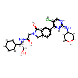 O=C(CN1Cc2ccc(-c3nc(NC4CCOCC4)ncc3Cl)cc2C1=O)N[C@H](CO)C1CCCCC1